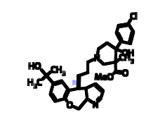 COC(=O)C1(C)CN(CC/C=C2/c3cc(C(C)(C)O)ccc3OCC3N=CC=CC23)CCC1(O)c1ccc(Cl)cc1